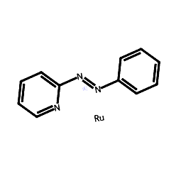 [Ru].c1ccc(/N=N/c2ccccn2)cc1